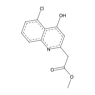 COC(=O)Cc1cc(O)c2c(Cl)cccc2n1